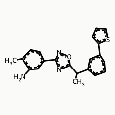 Cc1ccc(-c2noc(C(C)c3cccc(-c4cccs4)c3)n2)cc1N